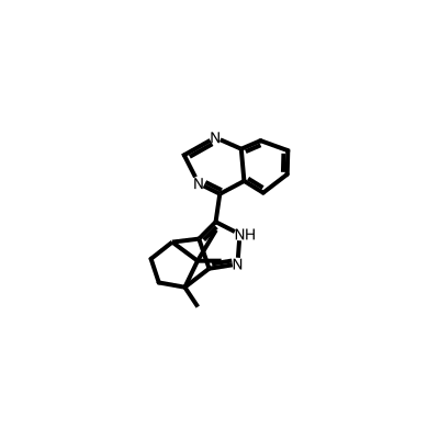 CC12CCC(c3c1n[nH]c3-c1ncnc3ccccc13)C2(C)C